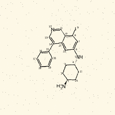 N[C@H]1CC[C@H](Nc2cc(I)c3cncc(-c4ccccc4)c3c2)CC1